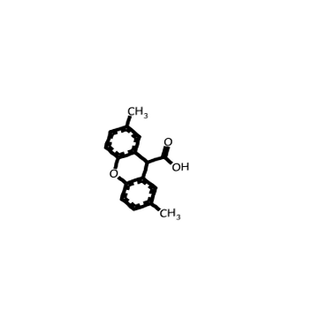 Cc1ccc2c(c1)C(C(=O)O)c1cc(C)ccc1O2